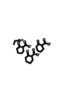 C[CH2][Zr+3].O=C([O-])C1CCCCC1=O.O=C([O-])C1CCCCC1=O.O=C([O-])C1CCCCC1=O